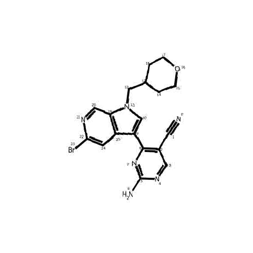 N#Cc1cnc(N)nc1-c1cn(CC2CCOCC2)c2cnc(Br)cc12